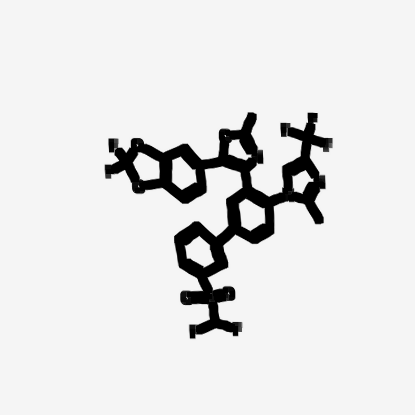 Cc1nc(-c2cc(-c3cccc(S(=O)(=O)C(F)F)c3)ccc2-n2cc(C(F)(F)F)nc2C)c(-c2ccc3c(c2)OC(F)(F)O3)o1